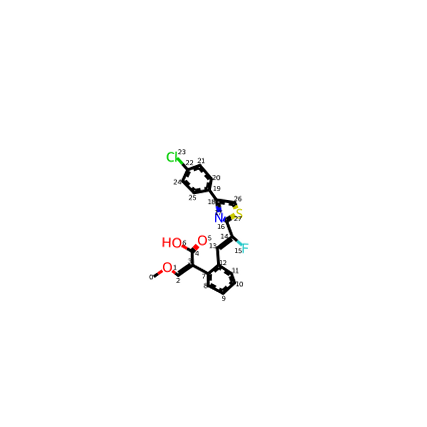 COC=C(C(=O)O)c1ccccc1C=C(F)c1nc(-c2ccc(Cl)cc2)cs1